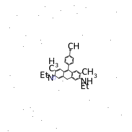 C#Cc1ccc(C2=C3C=C(C)/C(=N\CC)C=C3Cc3cc(NCC)c(C)cc32)cc1